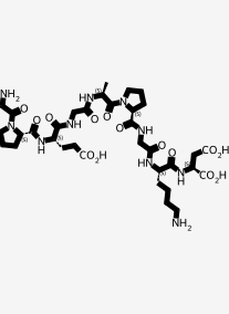 C[C@H](NC(=O)CNC(=O)[C@H](CCC(=O)O)NC(=O)[C@@H]1CCCN1C(=O)CN)C(=O)N1CCC[C@H]1C(=O)NCC(=O)N[C@@H](CCCCN)C(=O)N[C@@H](CC(=O)O)C(=O)O